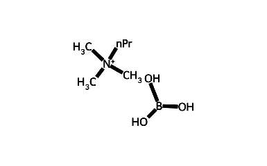 CCC[N+](C)(C)C.OB(O)O